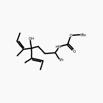 C/C=C(/C)C(O)(CCC(NC(=O)OC(C)(C)C)C(C)C)/C(C)=C/C